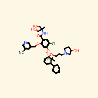 CC(CO)(CO)NC(=O)c1cc(Cl)c(OC[C@@]2(OCCCN3CCC(O)C3)C=CC=C(c3ccccc3)C2(C)C)cc1OCc1cncc(C#N)c1